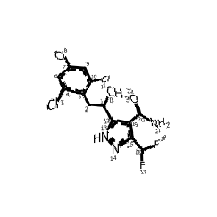 CC(Cc1c(Cl)cc(Cl)cc1Cl)c1[nH]nc(C(F)F)c1C(N)=O